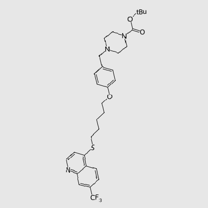 CC(C)(C)OC(=O)N1CCN(Cc2ccc(OCCCCCSc3ccnc4cc(C(F)(F)F)ccc34)cc2)CC1